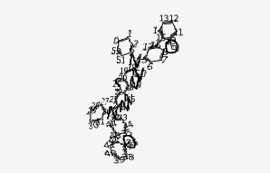 c1ccc(N(c2ccc3oc4ccccc4c3c2)c2cc3sc4cc(N(c5ccccc5)c5ccc6oc7ccccc7c6c5)nnc4c3nn2)cc1